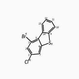 Clc1cc(Br)c2c(c1)sc1ccccc12